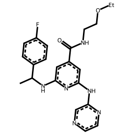 CCOCCNC(=O)c1cc(Nc2cnccn2)nc(NC(C)c2ccc(F)cc2)c1